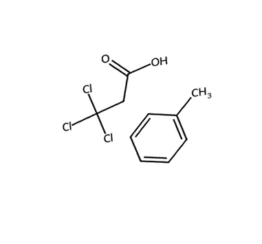 Cc1ccccc1.O=C(O)CC(Cl)(Cl)Cl